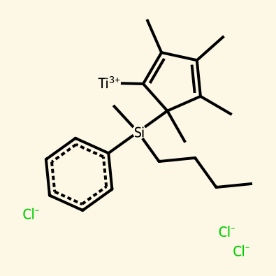 CCCC[Si](C)(c1ccccc1)C1(C)C(C)=C(C)C(C)=[C]1[Ti+3].[Cl-].[Cl-].[Cl-]